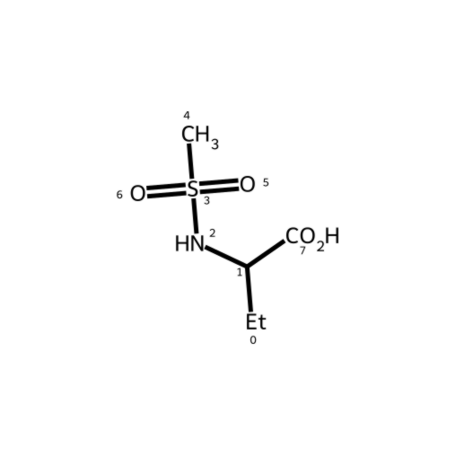 CCC(NS(C)(=O)=O)C(=O)O